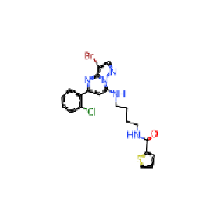 O=C(NCCCCNc1cc(-c2ccccc2Cl)nc2c(Br)cnn12)c1cccs1